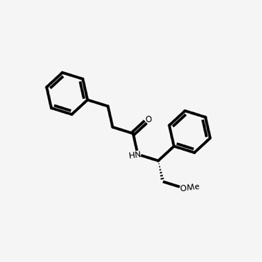 COC[C@H](NC(=O)CCc1ccccc1)c1ccccc1